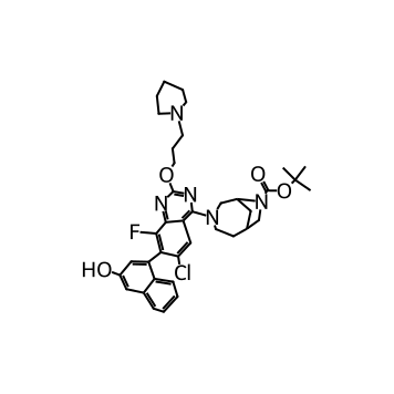 CC(C)(C)OC(=O)N1CC2CCN(c3nc(OCCCN4CCCCC4)nc4c(F)c(-c5cc(O)cc6ccccc56)c(Cl)cc34)CC1C2